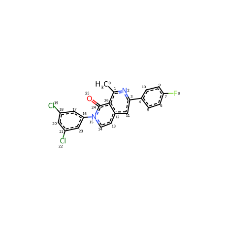 Cc1nc(-c2ccc(F)cc2)cc2ccn(-c3cc(Cl)cc(Cl)c3)c(=O)c12